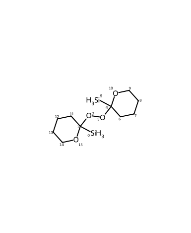 [SiH3]C1(OOC2([SiH3])CCCCO2)CCCCO1